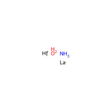 N.O.[Hf].[La]